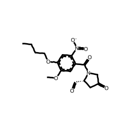 CCCCOc1cc([N+](=O)[O-])c(C(=O)N2CC(=O)C[C@@H]2C=O)cc1OC